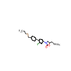 CC(=O)NCC1CN(c2ccc(-c3ccc(CSCCC(F)(F)F)cc3)c(F)c2)C(=O)O1